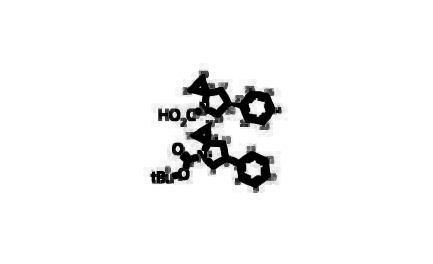 CC(C)(C)OC(=O)N1CC(c2ccccc2)CC12CC2.O=C(O)N1C[C@H](c2ccccc2)CC12CC2